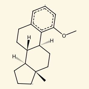 COc1c[c]cc2c1[C@H]1CC[C@]3(C)[CH]CC[C@H]3[C@@H]1CC2